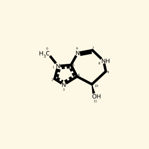 Cn1cnc2c1N=CNC[C@H]2O